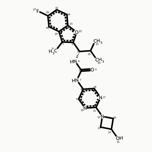 Cc1c([C@@H](NC(=O)Nc2cnc(N3CC(O)C3)nc2)C(C)C)oc2ccc(F)cc12